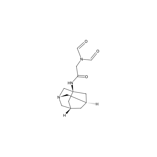 O=CN(C=O)CC(=O)N[C@@]12C[C@@H]3C[C@@H](C[N@](C3)C1)C2